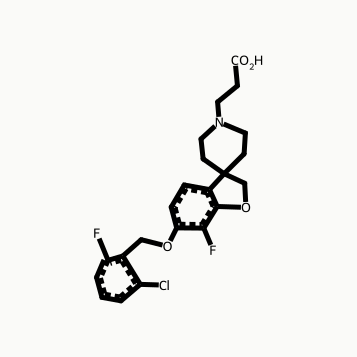 O=C(O)CCN1CCC2(CC1)COc1c2ccc(OCc2c(F)cccc2Cl)c1F